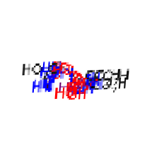 Cc1cc(OCCCC(=O)NCCCOCCOCCOCCCNC(=O)[C@@H](CCCCNC(=O)CN(COP(O)O)CO[PH](=O)O)NC(=O)CN2CCN(CC(=O)O)CCN(CC(=O)O)CCN(CC(=O)O)CC2)cc(C)c1S(=O)(=O)NC(CNC(=O)c1ccc2c(cnn2CCCNc2ncc[nH]2)c1)C(=O)O